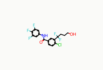 O=C(Nc1cc(F)c(F)c(F)c1)c1ccc(Cl)c(C(F)(F)CCCO)c1